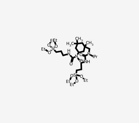 CCO[Si](CCCNC(=O)N(CC1(C)CC(N(C(=O)NCCC[Si](OCC)(OCC)OCC)C(C)C)CC(C)(C)C1)C(C)C)(OCC)OCC